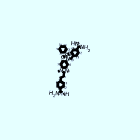 Cn1c(CCc2ccc(C(=N)N)cc2)nc2cc(N(Cc3ccc(C(=N)N)cc3)S(=O)(=O)c3ccccc3)ccc21